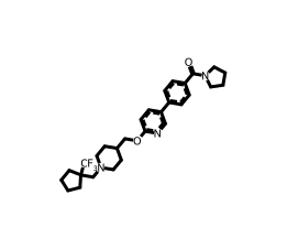 O=C(c1ccc(-c2ccc(OCC3CCN(CC4(C(F)(F)F)CCCC4)CC3)nc2)cc1)N1CCCC1